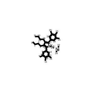 CCCCC1=C(c2cc(C)c(C)c(C)c2)[N+](=[N-])C(c2cc(C)c(C)c(C)c2)=C1CCCC.[CH3][Ni][CH3]